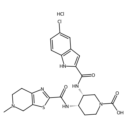 CN1CCc2nc(C(=O)N[C@H]3CCN(C(=O)O)C[C@H]3NC(=O)c3cc4cc(Cl)ccc4[nH]3)sc2C1.Cl